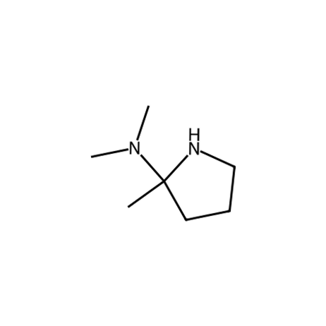 CN(C)C1(C)CCCN1